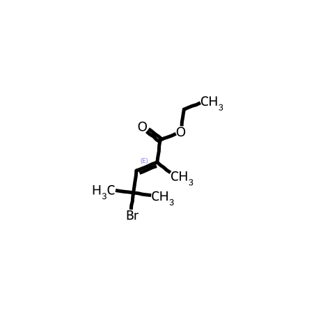 CCOC(=O)/C(C)=C/C(C)(C)Br